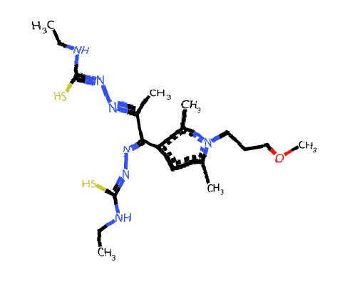 CCN/C(S)=N/N=C(C)/C(=N/N=C(\S)NCC)c1cc(C)n(CCCOC)c1C